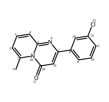 Cc1cccc2nc(-c3cccc(Cl)c3)cc(=O)n12